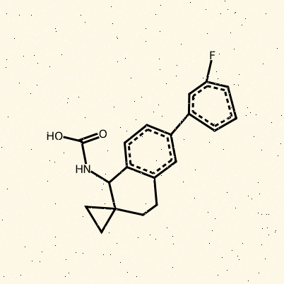 O=C(O)NC1c2ccc(-c3cccc(F)c3)cc2CCC12CC2